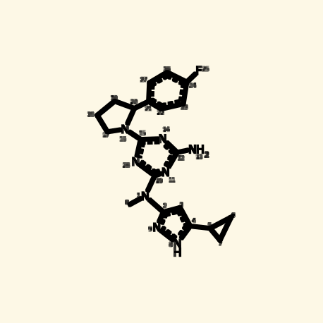 CN(c1cc(C2CC2)[nH]n1)c1nc(N)nc(N2CCCC2c2ccc(F)cc2)n1